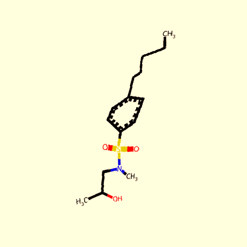 CCCCCc1ccc(S(=O)(=O)N(C)CC(C)O)cc1